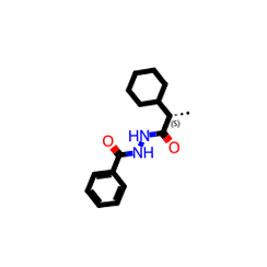 C[C@H](C(=O)NNC(=O)c1ccccc1)C1CCCCC1